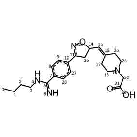 CCCCNC(=N)c1ccc(C2=NOC(C=C3CCN(CC(=O)O)CC3)C2)cc1